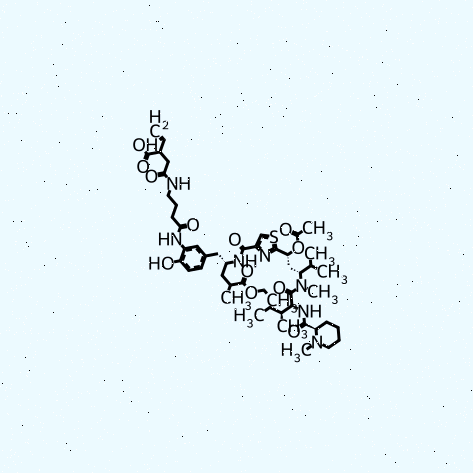 C=CC(CC(=O)NCCCC(=O)Nc1cc(C[C@@H](CC(C)C(=O)OCC)NC(=O)c2csc([C@@H](C[C@H](C(C)C)N(C)C(=O)[C@@H](NC(=O)[C@H]3CCCCN3C)[C@@H](C)CC)OC(C)=O)n2)ccc1O)C(=O)O